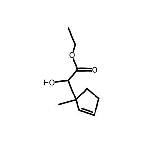 CCOC(=O)C(O)C1(C)C=CCC1